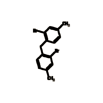 Cc1ccc(Cc2ccc(C)cc2Br)c(Br)c1